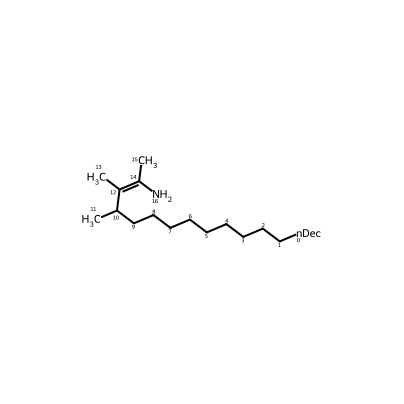 CCCCCCCCCCCCCCCCCCCC(C)C(C)=C(C)N